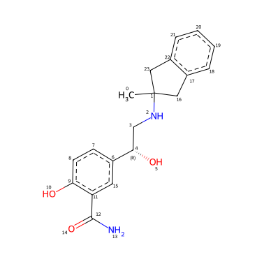 CC1(NC[C@H](O)c2ccc(O)c(C(N)=O)c2)Cc2ccccc2C1